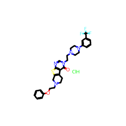 Cl.O=c1c2c3c(sc2ncn1CCN1CCN(c2cccc(C(F)(F)F)c2)CC1)CN(CCOc1ccccc1)CC3